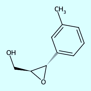 Cc1cccc([C@@H]2O[C@H]2CO)c1